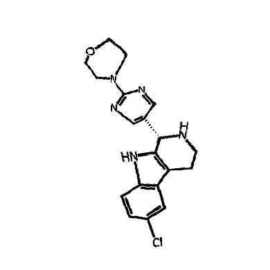 Clc1ccc2[nH]c3c(c2c1)CCN[C@H]3c1cnc(N2CCOCC2)nc1